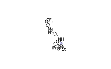 CCn1s/c(=N/C(=O)NCCc2ccc(-c3ncn(-c4ccc(OC(F)(F)F)cc4)n3)cc2)n(-c2ccccc2C(C)C)c1=O